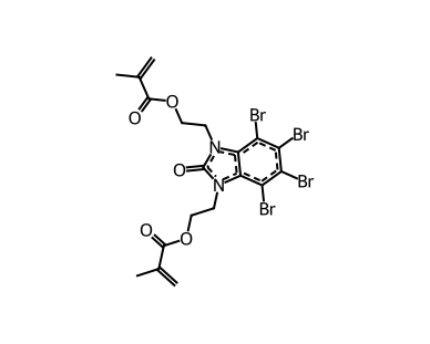 C=C(C)C(=O)OCCn1c(=O)n(CCOC(=O)C(=C)C)c2c(Br)c(Br)c(Br)c(Br)c21